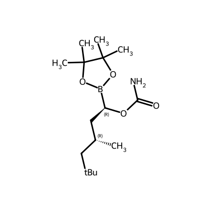 C[C@@H](C[C@H](OC(N)=O)B1OC(C)(C)C(C)(C)O1)CC(C)(C)C